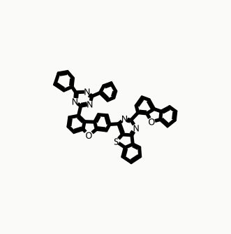 c1ccc(-c2nc(-c3ccccc3)nc(-c3cccc4oc5cc(-c6nc(-c7cccc8c7oc7ccccc78)nc7c6sc6ccccc67)ccc5c34)n2)cc1